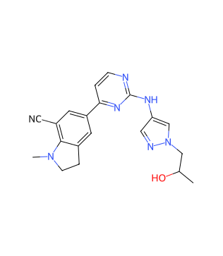 CC(O)Cn1cc(Nc2nccc(-c3cc(C#N)c4c(c3)CCN4C)n2)cn1